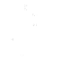 C1CNNNC1.O=C(O)c1ccccc1